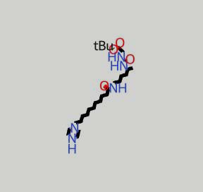 CC(CCCCNC(=O)CCCCCCCCCCN1CCNCC1)NC(=O)NCC(=O)OC(C)(C)C